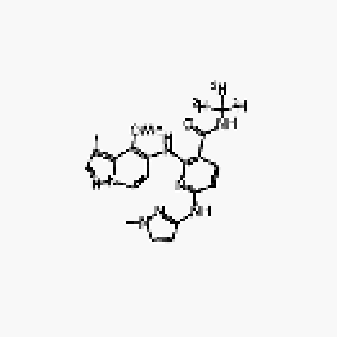 [2H]C([2H])([2H])NC(=O)c1ccc(Nc2ccn(C)n2)nc1Nc1ccn2ncc(C)c2c1OC